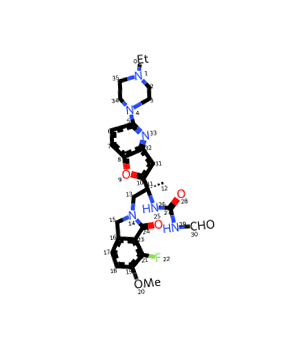 CCN1CCN(c2ccc3oc([C@](C)(CN4Cc5ccc(OC)c(F)c5C4=O)NC(=O)NC=O)cc3n2)CC1